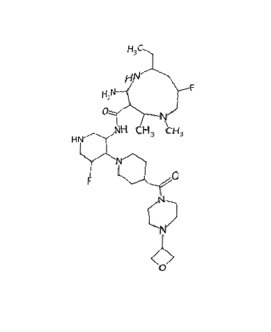 CCC1CC(F)CN(C)C(C)C(C(=O)NC2CNCC(F)C2N2CCC(C(=O)N3CCN(C4COC4)CC3)CC2)C(N)N1